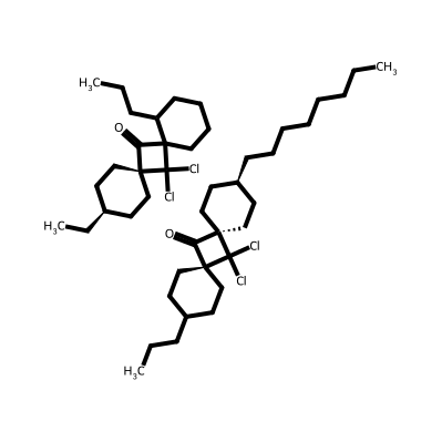 CCCC1CCCCC12C(=O)[C@]1(CC[C@H](CC)CC1)C2(Cl)Cl.CCCCCCCC[C@H]1CC[C@@]2(CC1)C(=O)[C@]1(CCC(CCC)CC1)C2(Cl)Cl